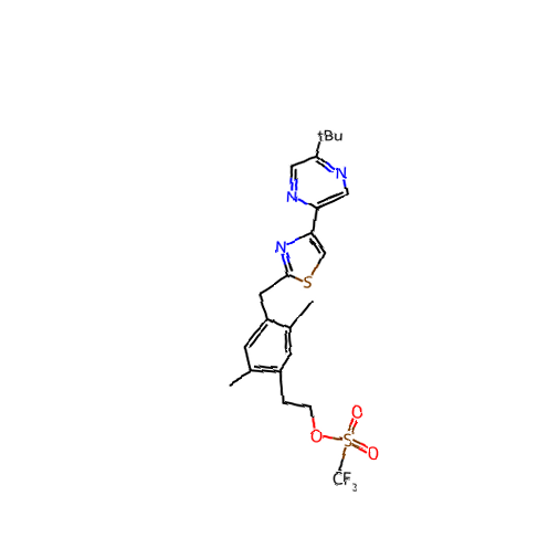 Cc1cc(Cc2nc(-c3cnc(C(C)(C)C)cn3)cs2)c(C)cc1CCOS(=O)(=O)C(F)(F)F